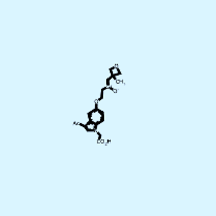 CC(=O)c1cn(CC(=O)O)c2ccc(OCC[S+]([O-])CC3(C)COC3)cc12